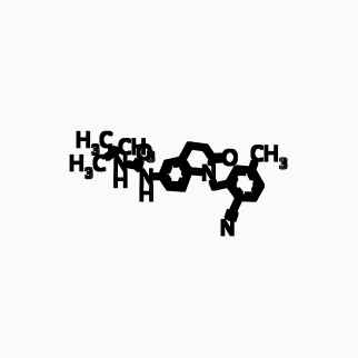 Cc1ccc(C#N)c(CN2C(=O)CCc3cc(NC(=O)NC(C)(C)C)ccc32)c1